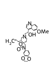 C=CC[C@H]1CN(C[C@@H](O)c2ccnc3ccc(OC)cc23)CC[C@]12CN(c1ccc3c(c1)OCCO3)C(=O)O2